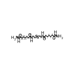 NNC(=O)CCCCCC(=O)NCCSSCCNC(=O)CCCCCC(=O)NN